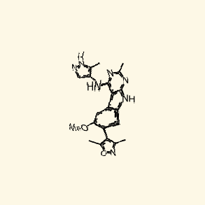 COc1cc2c(cc1-c1c(C)noc1C)[nH]c1nc(C)nc(Nc3cn[nH]c3C)c12